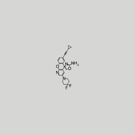 NC1=N[C@@]2(CO1)c1cc(C#CC3CC3)ccc1Oc1ncc(N3CCC(F)(F)CC3)cc12